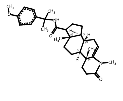 COc1ccc(C(C)(C)NC(=O)C2CC[C@H]3[C@@H]4CC=C5N(C)C(=O)CC[C@]5(C)[C@H]4CC[C@]23C)cc1